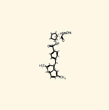 Cc1ccc2nc(C)cc(Cc3ccc(C(=O)N[C@@H]4CCC[C@@H]4C(=O)NO)cc3)c2c1